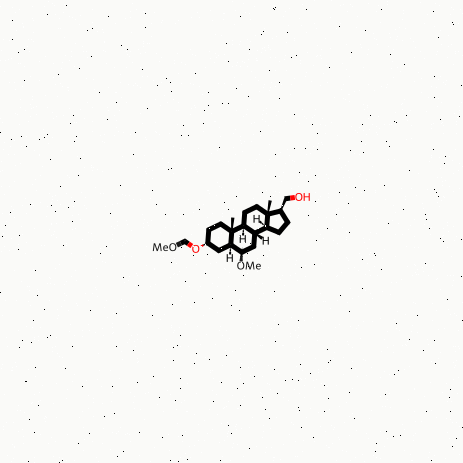 COCO[C@@H]1CC[C@@]2(C)[C@H](C1)[C@H](OC)C[C@@H]1[C@@H]2CC[C@]2(C)[C@@H](CO)CC[C@@H]12